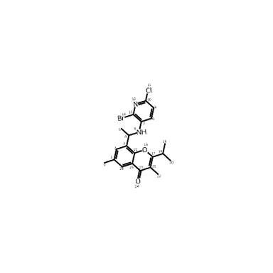 Cc1cc(C(C)Nc2ccc(Cl)nc2Br)c2oc(C(C)C)c(C)c(=O)c2c1